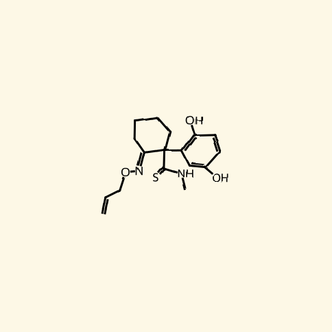 C=CCON=C1CCCCC1(C(=S)NC)c1cc(O)ccc1O